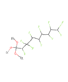 CCO[Si](OCC)(OCC)C(F)C(F)(F)C(F)C(F)C(F)C(F)C(F)C(F)F